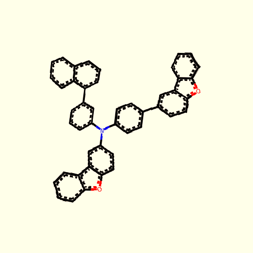 c1cc(-c2cccc3ccccc23)cc(N(c2ccc(-c3ccc4oc5ccccc5c4c3)cc2)c2ccc3oc4ccccc4c3c2)c1